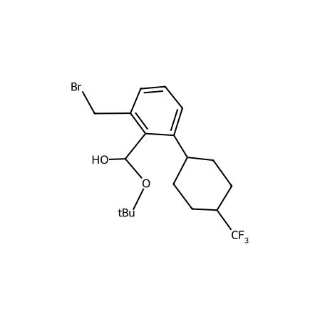 CC(C)(C)OC(O)c1c(CBr)cccc1C1CCC(C(F)(F)F)CC1